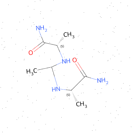 CC(N[C@@H](C)C(N)=O)N[C@@H](C)C(N)=O